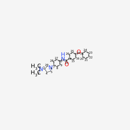 CN(C)C1CCN(c2ccc(NC(=O)c3ccc(Oc4ccccc4)cc3)cc2)C1